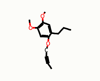 CC#CCOc1cc(OC)c(OC)cc1CCC